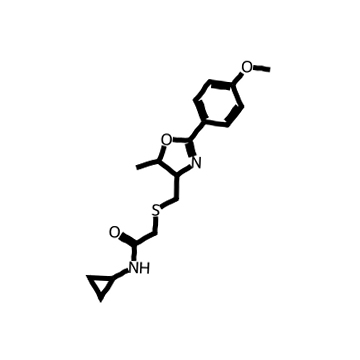 COc1ccc(C2=NC(CSCC(=O)NC3CC3)C(C)O2)cc1